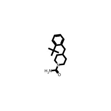 CC(C)(C)c1ccccc1CC1CCN(C(N)=O)CC1